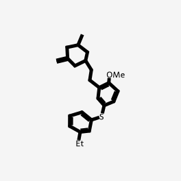 C=C1CC(C)CC(CCc2cc(Sc3cccc(CC)c3)ccc2OC)C1